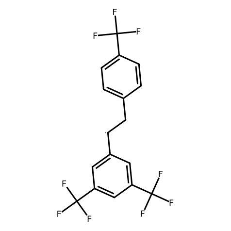 FC(F)(F)c1ccc(C[CH]c2cc(C(F)(F)F)cc(C(F)(F)F)c2)cc1